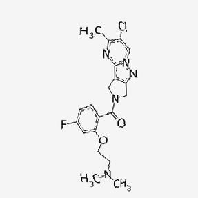 Cc1nc2c3c(nn2cc1Cl)CN(C(=O)c1ccc(F)cc1OCCN(C)C)C3